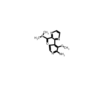 COc1c(-c2nccnc2C(=O)N(C)C)ccnc1N